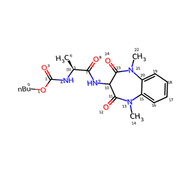 CCCCOC(=O)N[C@@H](C)C(=O)NC1C(=O)N(C)c2ccccc2N(C)C1=O